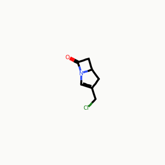 O=C1CC2CC(CCl)=CN12